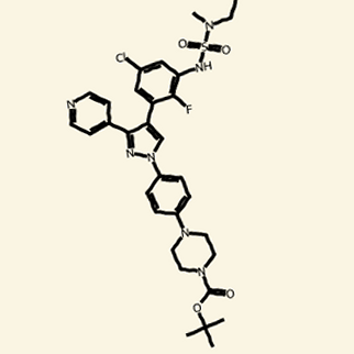 CCN(C)S(=O)(=O)Nc1cc(Cl)cc(-c2cn(-c3ccc(N4CCN(C(=O)OC(C)(C)C)CC4)cc3)nc2-c2ccncc2)c1F